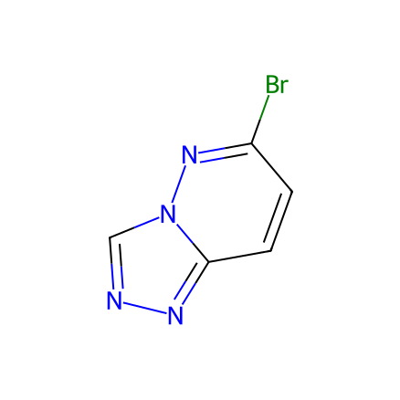 Brc1ccc2nncn2n1